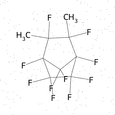 CC1(F)C(C)(F)C2(F)C(F)(F)C(F)(F)C1(F)C2(F)F